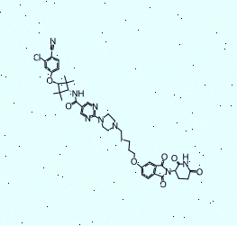 CC1(C)[C@H](NC(=O)c2cnc(N3CCN(CCCCCOc4ccc5c(c4)C(=O)N(C4CCC(=O)NC4=O)C5=O)CC3)nc2)C(C)(C)[C@H]1Oc1ccc(C#N)c(Cl)c1